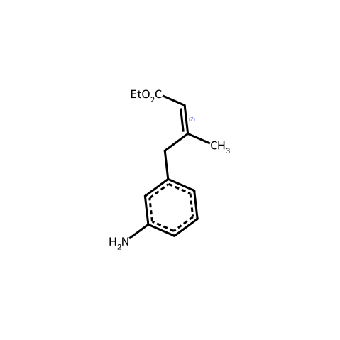 CCOC(=O)/C=C(/C)Cc1cccc(N)c1